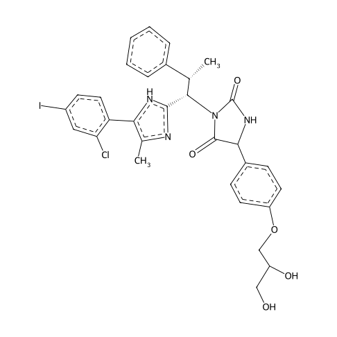 Cc1nc([C@H]([C@@H](C)c2ccccc2)N2C(=O)NC(c3ccc(OCC(O)CO)cc3)C2=O)[nH]c1-c1ccc(I)cc1Cl